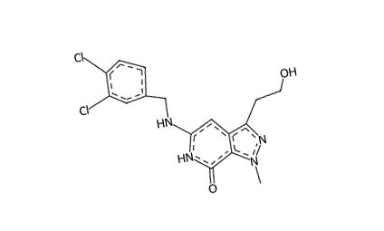 Cn1nc(CCO)c2cc(NCc3ccc(Cl)c(Cl)c3)[nH]c(=O)c21